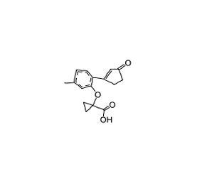 Cc1ccc(C2=CC(=O)CC2)c(OC2(C(=O)O)CC2)c1